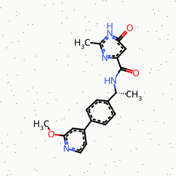 COc1cc(-c2ccc([C@@H](C)NC(=O)c3cc(=O)[nH]c(C)n3)cc2)ccn1